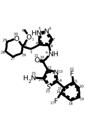 COC1(Cc2[nH]ncc2NC(=O)c2nc(-c3c(F)cccc3F)sc2N)CCCCO1